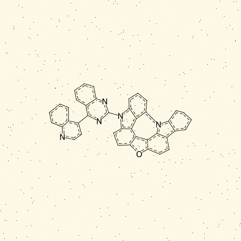 c1ccc2c(-c3nc(-n4c5ccc6oc7ccc8c9ccccc9n9c%10cccc4c%10c5c6c7c89)nc4ccccc34)ccnc2c1